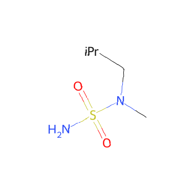 CC(C)CN(C)S(N)(=O)=O